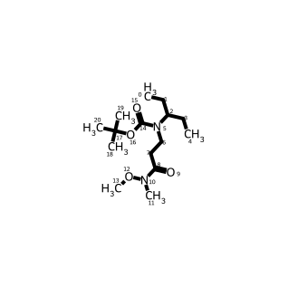 CCC(CC)N(CCC(=O)N(C)OC)C(=O)OC(C)(C)C